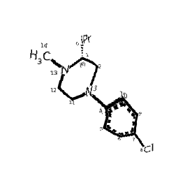 CC(C)[C@@H]1CN(c2ccc(Cl)cc2)CCN1C